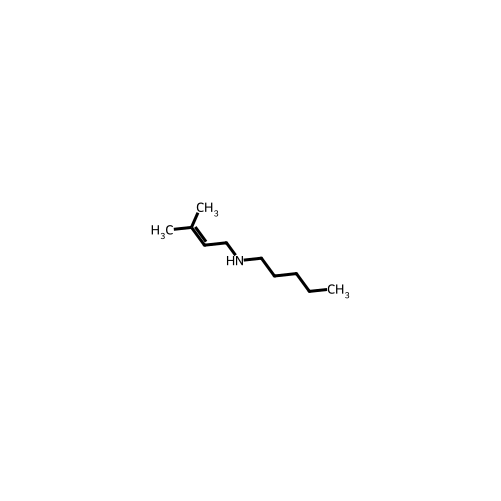 CCCCCNCC=C(C)C